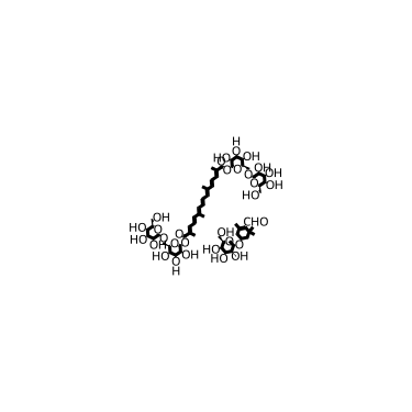 CC(/C=C/C=C(\C)C(=O)O[C@@H]1O[C@H](CO[C@@H]2O[C@H](CO)[C@@H](O)[C@H](O)[C@H]2O)[C@@H](O)[C@H](O)[C@H]1O)=C\C=C\C=C(C)\C=C\C=C(/C)C(=O)O[C@@H]1O[C@H](CO[C@@H]2O[C@H](CO)[C@@H](O)[C@H](O)[C@H]2O)[C@@H](O)[C@H](O)[C@H]1O.CC1=C(C=O)C(C)(C)C[C@H](O[C@@H]2O[C@H](CO)[C@@H](O)[C@H](O)[C@H]2O)C1